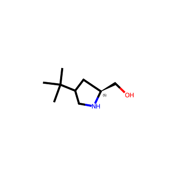 CC(C)(C)C1CN[C@H](CO)C1